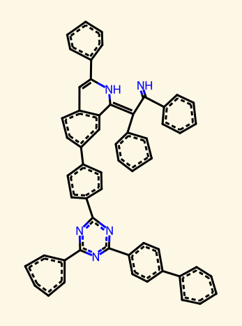 N=C(/C(=C1\NC(c2ccccc2)=Cc2ccc(-c3ccc(-c4nc(-c5ccccc5)nc(-c5ccc(-c6ccccc6)cc5)n4)cc3)cc21)c1ccccc1)c1ccccc1